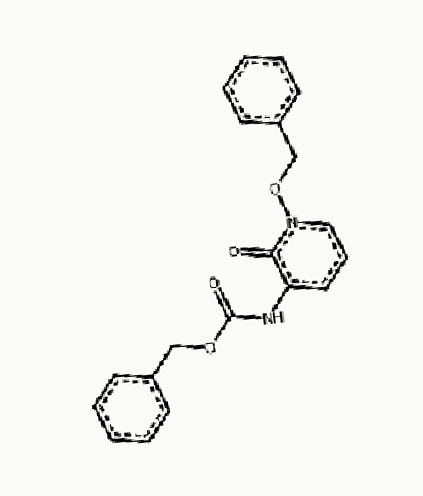 O=C(Nc1cccn(OCc2ccccc2)c1=O)OCc1ccccc1